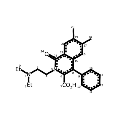 CCN(CC)CCn1c(C(=O)O)c(-c2ccccc2)c2cc(C)c(C)cc2c1=O